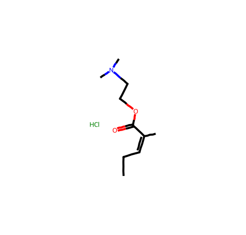 CCC=C(C)C(=O)OCCN(C)C.Cl